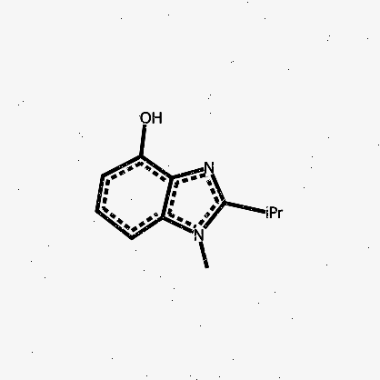 CC(C)c1nc2c(O)cccc2n1C